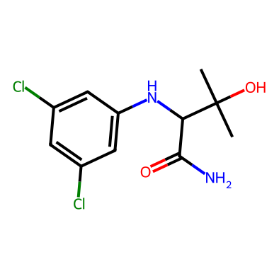 CC(C)(O)C(Nc1cc(Cl)cc(Cl)c1)C(N)=O